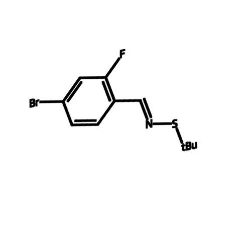 CC(C)(C)SN=Cc1ccc(Br)cc1F